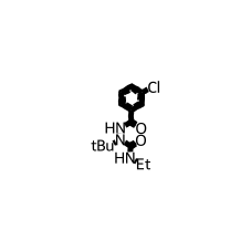 CCNC(=O)N(NC(=O)c1cccc(Cl)c1)C(C)(C)C